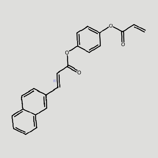 C=CC(=O)Oc1ccc(OC(=O)/C=C/c2ccc3ccccc3c2)cc1